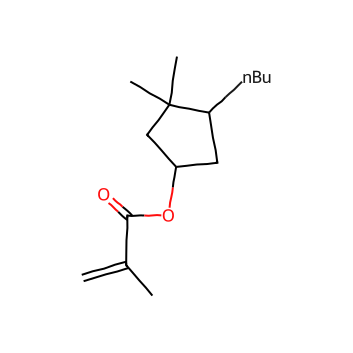 C=C(C)C(=O)OC1CC(CCCC)C(C)(C)C1